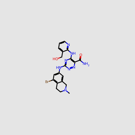 CN1CCc2c(Br)cc(Nc3nnc(C(N)=O)c(Nc4ncccc4CO)n3)cc2C1